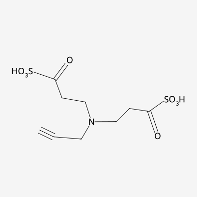 C#CCN(CCC(=O)S(=O)(=O)O)CCC(=O)S(=O)(=O)O